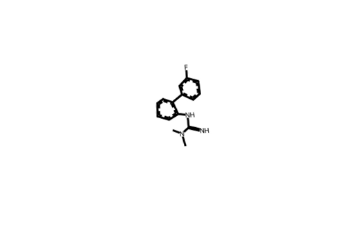 CN(C)C(=N)Nc1ccccc1-c1cccc(F)c1